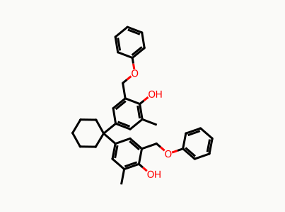 Cc1cc(C2(c3cc(C)c(O)c(COc4ccccc4)c3)CCCCC2)cc(COc2ccccc2)c1O